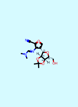 CN(C)/C=N/c1c([C@@H]2O[C@H](CO)[C@H]3OC(C)(C)O[C@H]32)coc1C#N